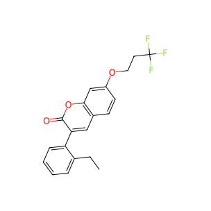 CCc1ccccc1-c1cc2ccc(OCCC(F)(F)F)cc2oc1=O